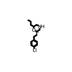 CCCC1CNC[C@@H](CCc2ccc(Cl)cc2)O1